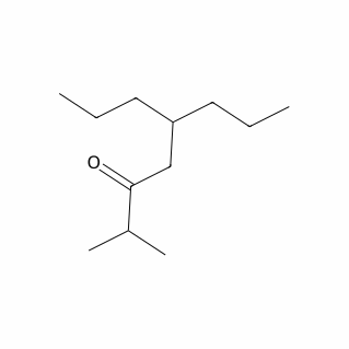 CCCC(CCC)CC(=O)C(C)C